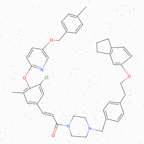 Cc1ccc(COc2ccc(Oc3c(C)cc(C=CC(=O)N4CCN(Cc5ccc(CCOc6ccc7c(c6)CCC7)cc5)CC4)cc3Cl)nc2)cc1